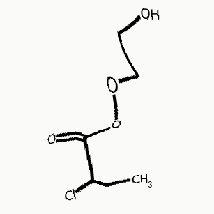 CC(Cl)C(=O)OOCCO